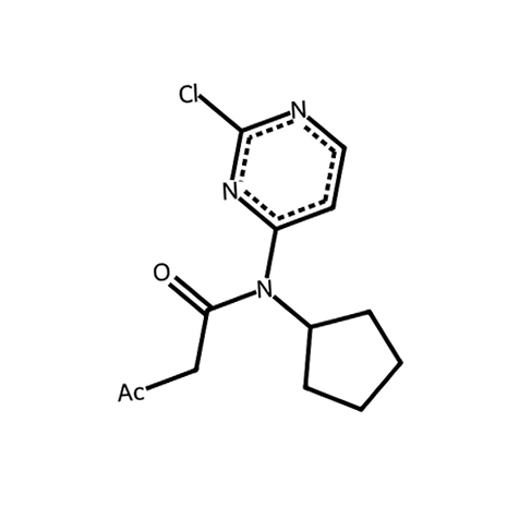 CC(=O)CC(=O)N(c1ccnc(Cl)n1)C1CCCC1